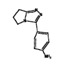 Nc1ccc(-c2nnc3n2CCC3)cc1